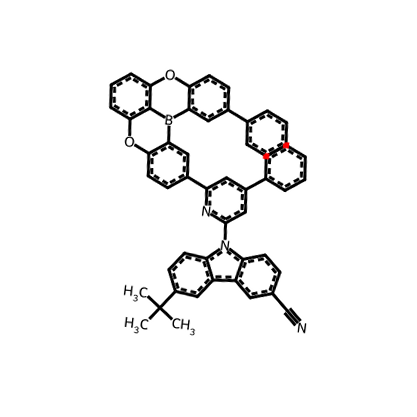 CC(C)(C)c1ccc2c(c1)c1cc(C#N)ccc1n2-c1cc(-c2ccccc2)cc(-c2ccc3c(c2)B2c4cc(-c5ccccc5)ccc4Oc4cccc(c42)O3)n1